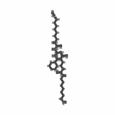 N#COCCCCCCNC(=O)OCCc1c(C2CCCCC2)[nH]c(NC(=O)NCCCCCCN=C=O)nc1=O